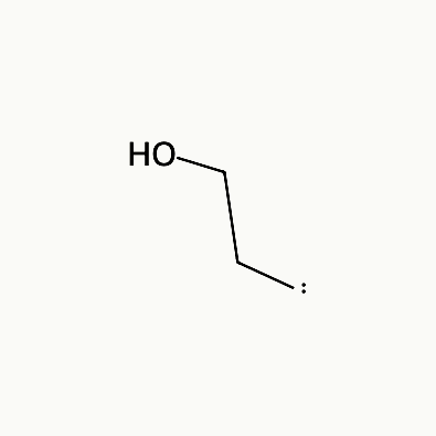 [CH]CCO